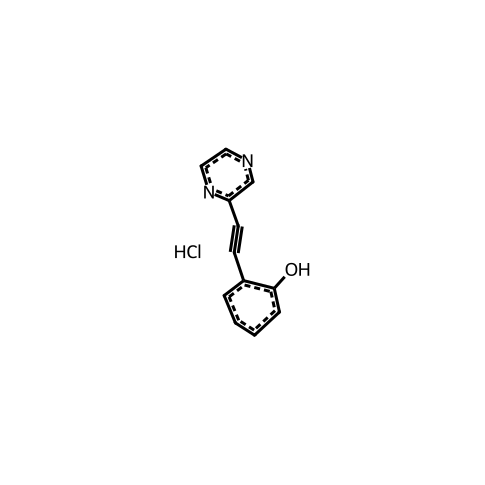 Cl.Oc1ccccc1C#Cc1cnccn1